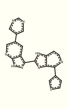 c1ncc(-c2cnc3[nH]nc(-c4nc5c(-c6ccsc6)nccc5[nH]4)c3c2)cn1